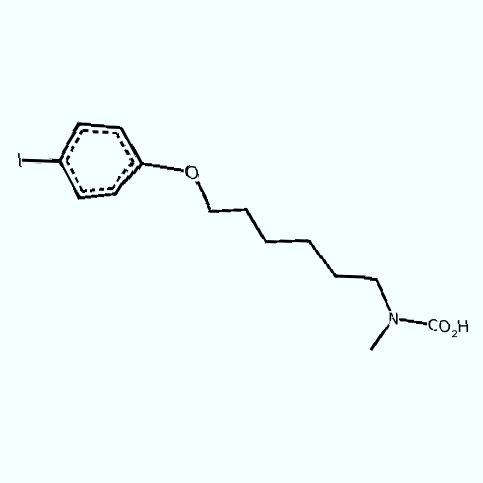 CN(CCCCCCOc1ccc(I)cc1)C(=O)O